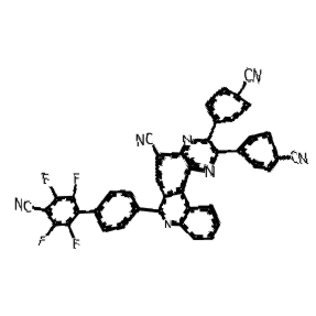 N#Cc1ccc(-c2nc3c(C#N)cc4c(-c5ccc(-c6c(F)c(F)c(C#N)c(F)c6F)cc5)nc5ccccc5c4c3nc2-c2ccc(C#N)cc2)cc1